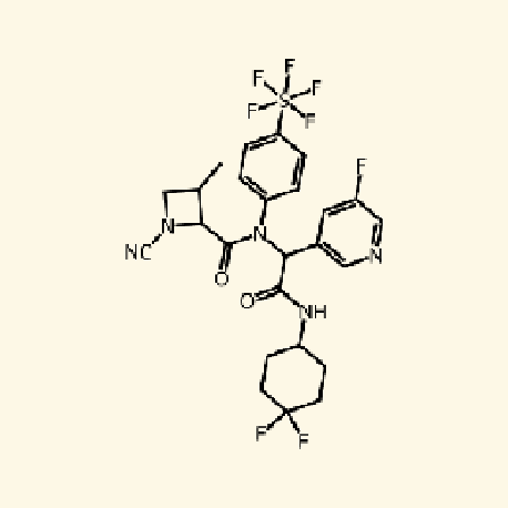 CC1CN(C#N)C1C(=O)N(c1ccc(S(F)(F)(F)(F)F)cc1)C(C(=O)NC1CCC(F)(F)CC1)c1cncc(F)c1